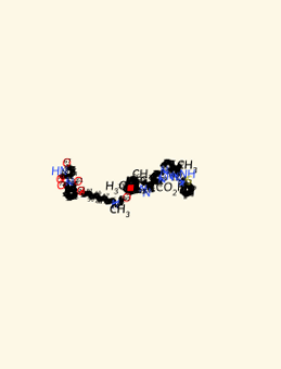 Cc1c(Nc2nc3ccccc3s2)nnc2c1CCCN2c1ccc(-c2cnn(CC34CC5(C)CC(C)(C3)CC(OCCN(C)CCCCCCCCOc3cccc6c3C(=O)N(C3CCC(=O)NC3=O)C6=O)(C5)C4)c2C)c(C(=O)O)n1